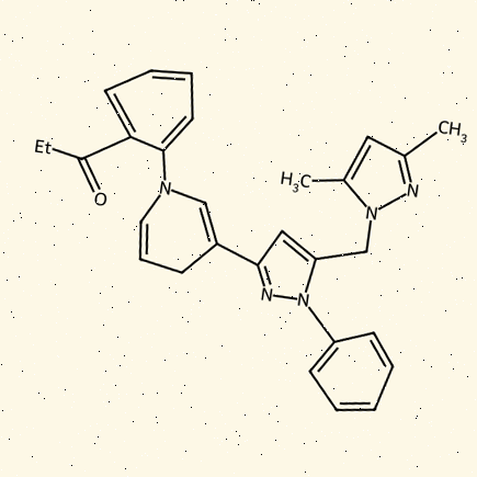 CCC(=O)c1ccccc1N1C=CCC(c2cc(Cn3nc(C)cc3C)n(-c3ccccc3)n2)=C1